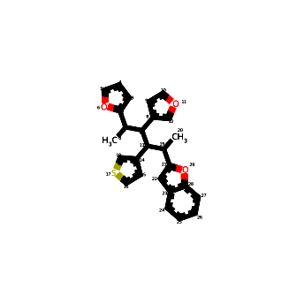 CC(c1ccco1)C(c1ccoc1)C(c1ccsc1)C(C)c1cc2ccccc2o1